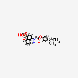 CCC(C)c1ccc(OC(=O)CNc2ccc(S(=O)(=O)O)c3ccccc23)cc1